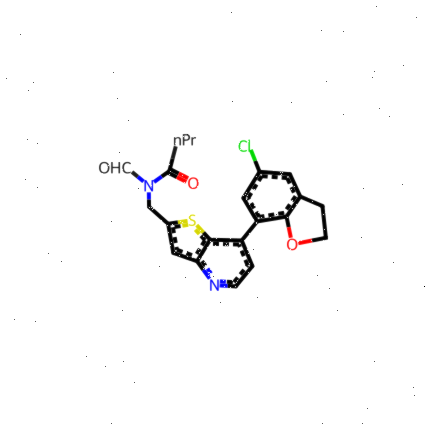 CCCC(=O)N(C=O)Cc1cc2nccc(-c3cc(Cl)cc4c3OCC4)c2s1